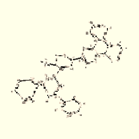 CC1CC=C(c2ccc3c4ccccc4c4ccccc4c3c2)C=C1c1nc(-c2ccccc2)nc(-c2ccccc2)n1